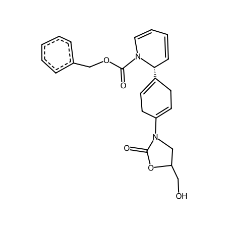 O=C1OC(CO)CN1C1=CCC([C@H]2C=CC=CN2C(=O)OCc2ccccc2)=CC1